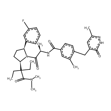 CCC(CC)(C(=O)N(C)C)[C@H]1CC[C@@H](c2cccc(F)c2)N1C(=O)[C@@H](C)NC(=O)c1ccc(Cc2cc(C)n[nH]c2=O)c(C)c1